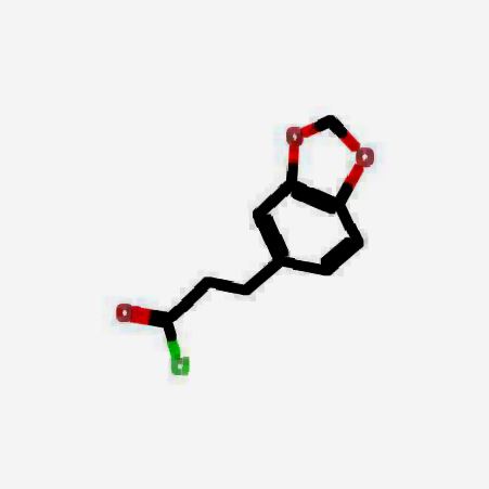 O=C(Cl)CCc1ccc2c(c1)OCO2